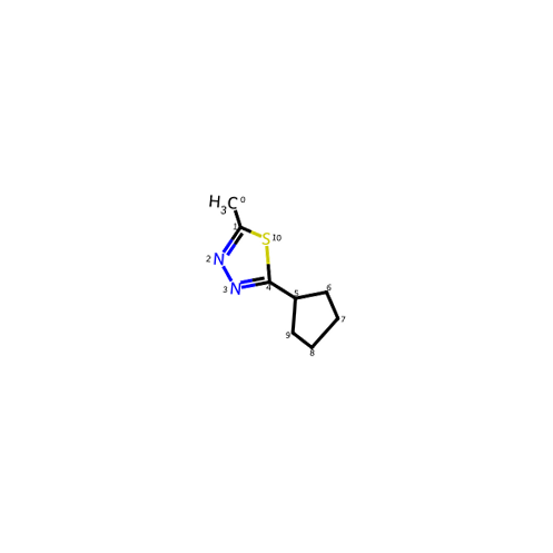 Cc1nnc(C2CCCC2)s1